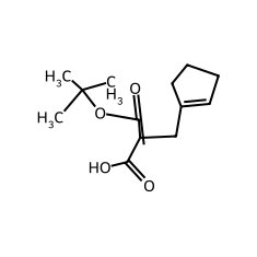 CC(C)(C)OC(=O)C(CC1=CCCC1)C(=O)O